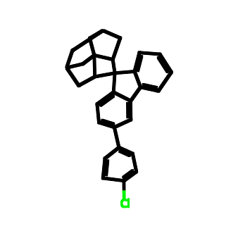 Clc1ccc(-c2ccc3c(c2)-c2ccccc2C32C3CC4CC5CC2C3(C4)C5)cc1